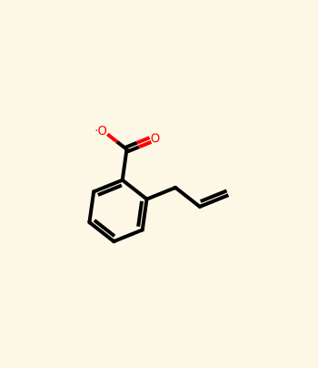 C=CCc1ccccc1C([O])=O